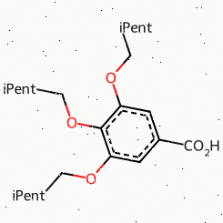 CCCC(C)COc1cc(C(=O)O)cc(OCC(C)CCC)c1OCC(C)CCC